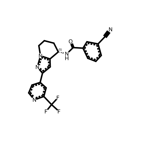 N#Cc1cccc(C(=O)N[C@H]2CCCn3nc(-c4ccnc(C(F)(F)F)c4)cc32)c1